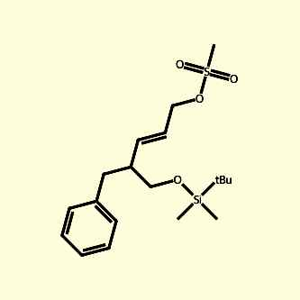 CC(C)(C)[Si](C)(C)OCC(/C=C/COS(C)(=O)=O)Cc1ccccc1